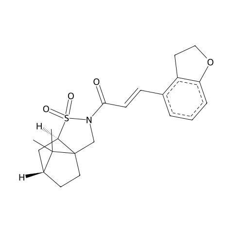 CC1(C)[C@@H]2CCC13CN(C(=O)C=Cc1cccc4c1CCO4)S(=O)(=O)[C@@H]3C2